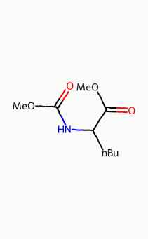 CCCCC(NC(=O)OC)C(=O)OC